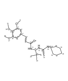 COc1cc(/C=C/C(=O)NC(NC(=S)NC2CCCCC2)C(C)(C)C)cc(OC)c1OC